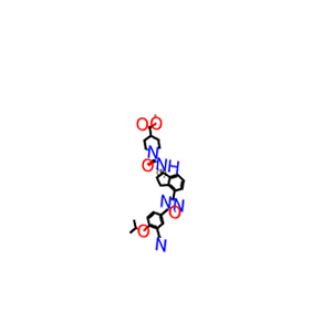 COC(=O)C1CCN(C(=O)N[C@H]2CCc3c(-c4noc(-c5ccc(OC(C)C)c(C#N)c5)n4)cccc32)CC1